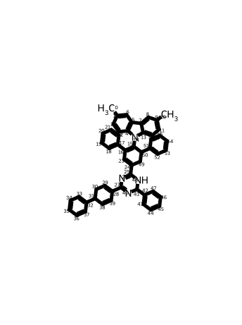 Cc1ccc2c(c1)c1cc(C)ccc1n2C1=C(c2ccccc2)C=C(C2=NC(C3=CCC(c4ccccc4)C=C3)=NC(c3ccccc3)N2)CC1c1ccccc1